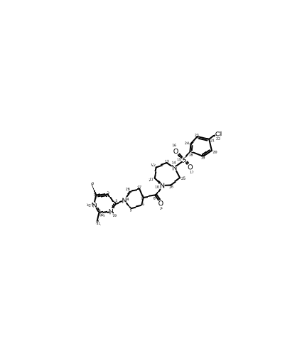 Cc1cc(N2CCC(C(=O)N3CCCN(S(=O)(=O)c4ccc(Cl)cc4)CC3)CC2)nc(C)n1